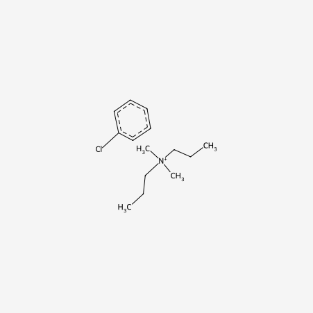 CCC[N+](C)(C)CCC.Clc1ccccc1